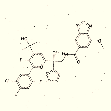 COc1cc(C(=O)NC[C@](O)(c2cc(C(C)(C)O)c(F)c(-c3cc(Cl)c(F)cc3F)n2)c2cccs2)cc2sc(C)nc12